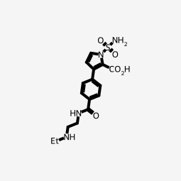 CCNCCNC(=O)c1ccc(-c2ccn(S(N)(=O)=O)c2C(=O)O)cc1